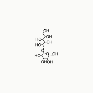 OCC(O)C(O)C(O)C(O)COC1O[C@H](CO)[C@@H](O)[C@H](O)[C@H]1O